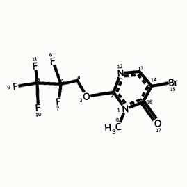 Cn1c(OCC(F)(F)C(F)(F)F)ncc(Br)c1=O